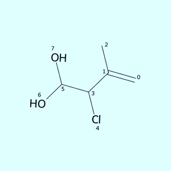 C=C(C)C(Cl)C(O)O